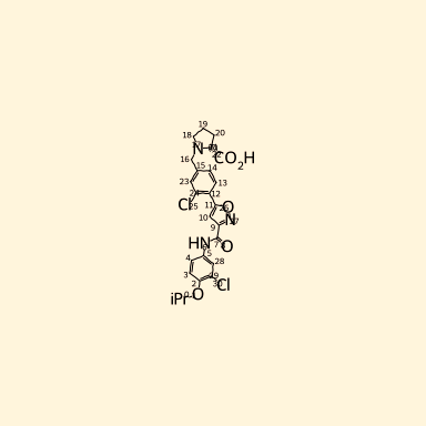 CC(C)Oc1ccc(NC(=O)c2cc(-c3ccc(CN4CCC[C@@H]4C(=O)O)cc3Cl)on2)cc1Cl